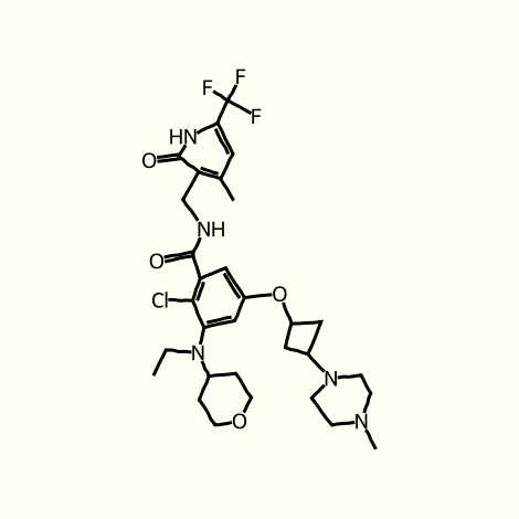 CCN(c1cc(OC2CC(N3CCN(C)CC3)C2)cc(C(=O)NCc2c(C)cc(C(F)(F)F)[nH]c2=O)c1Cl)C1CCOCC1